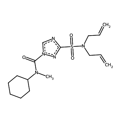 C=CCN(CC=C)S(=O)(=O)c1ncn(C(=O)N(C)C2CCCCC2)n1